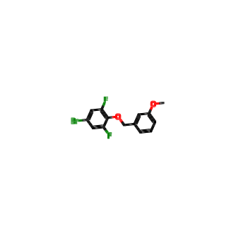 COc1cccc(COc2c(F)cc(Br)cc2F)c1